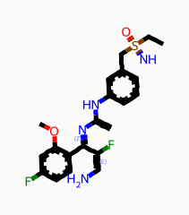 C=C(/N=C(\C(F)=C/N)c1ccc(F)cc1OC)Nc1cccc(CS(=N)(=O)CC)c1